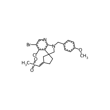 COc1ccc(CN2CC3(CCC(=CS(C)(=O)=O)C3)c3c2ncc(Br)c3Cl)cc1